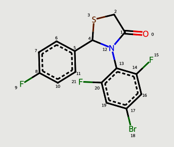 O=C1CSC(c2ccc(F)cc2)N1c1c(F)cc(Br)cc1F